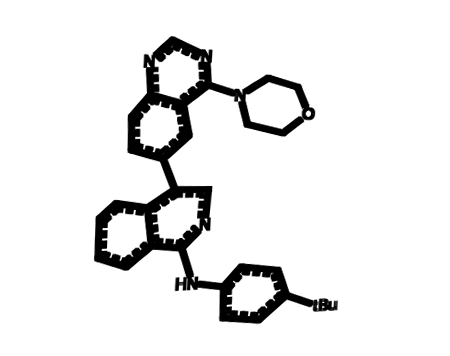 CC(C)(C)c1ccc(Nc2ncc(-c3ccc4ncnc(N5CCOCC5)c4c3)c3ccccc23)cc1